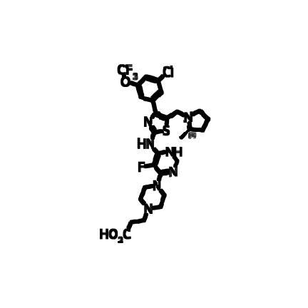 C[C@@H]1CCCN1Cc1sc(NC2=C(F)C(N3CCN(CCC(=O)O)CC3)=NCN2)nc1-c1cc(Cl)cc(OC(F)(F)F)c1